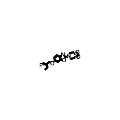 CC/C(=C\F)COc1ccc2nc(N3CCS(=O)(=O)CC3)oc2c1